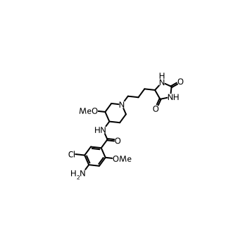 COc1cc(N)c(Cl)cc1C(=O)NC1CCN(CCCC2NC(=O)NC2=O)CC1OC